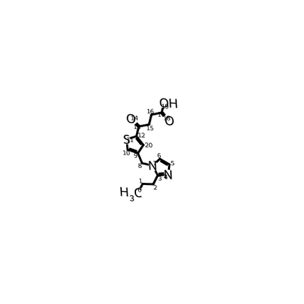 CCCc1nccn1Cc1csc(C(=O)CCC(=O)O)c1